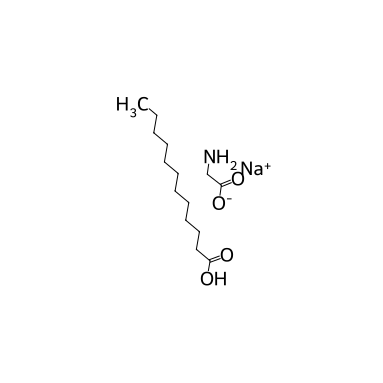 CCCCCCCCCCCC(=O)O.NCC(=O)[O-].[Na+]